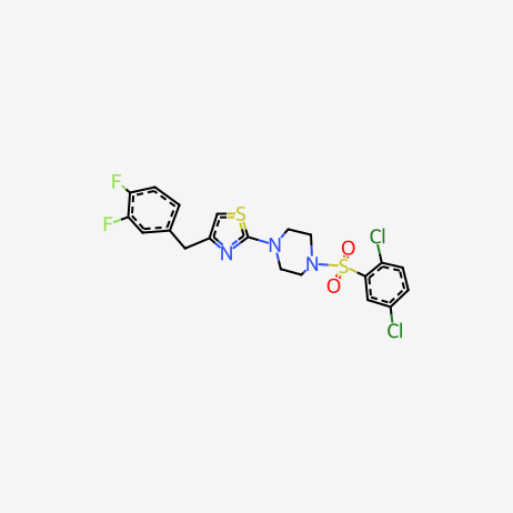 O=S(=O)(c1cc(Cl)ccc1Cl)N1CCN(c2nc(Cc3ccc(F)c(F)c3)cs2)CC1